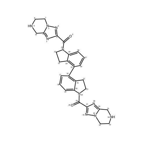 O=C(c1nc2n(n1)CCNC2)N1CCc2c(-c3cccc4c3CCN4C(=O)c3nc4n(n3)CCNC4)cccc21